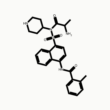 Cc1ccccc1C(=O)Nc1ccc(S(=O)(=O)N(C(=O)C(C)N)C2CCNCC2)c2ccccc12